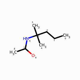 CCCC(C)(C)NC(C)[O]